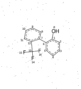 Oc1c[c]ccc1-c1ccccc1C(F)(F)F